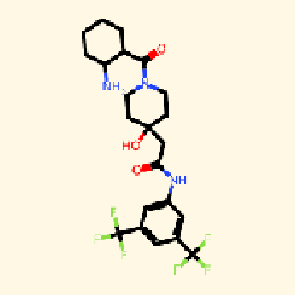 NC1CCCCC1C(=O)N1CCC(O)(CC(=O)Nc2cc(C(F)(F)F)cc(C(F)(F)F)c2)CC1